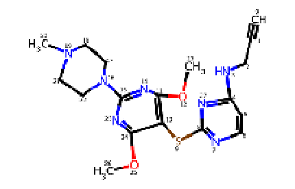 C#CCNc1ccnc(Sc2c(OC)nc(N3CCN(C)CC3)nc2OC)n1